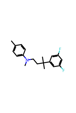 Cc1ccc(N(C)CCC(C)(C)c2cc(F)cc(F)c2)cc1